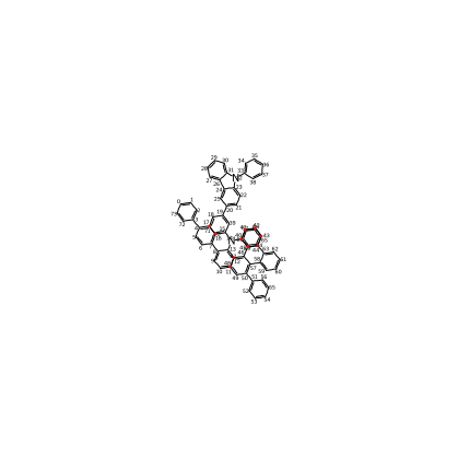 c1ccc(-c2ccc(-c3ccccc3N(c3cccc(-c4ccc5c(c4)c4ccccc4n5-c4ccccc4)c3)c3ccccc3-c3cccc(-c4ccccc4)c3-c3ccccc3-c3ccccc3)cc2)cc1